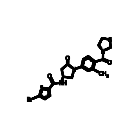 Cc1cc(N2CC(NC(=O)c3ccc(Br)s3)CC2=O)ccc1C(=O)N1CCSC1